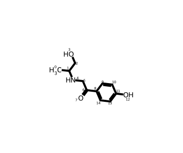 CC(CO)NCC(=O)c1ccc(O)cc1